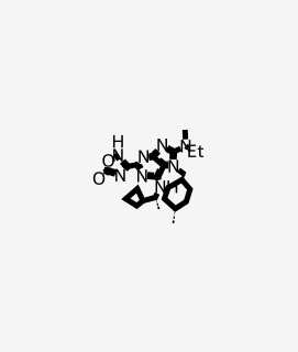 CCN(C)c1nc2nc(-c3nc(=O)o[nH]3)nc(N[C@H](C)C3CCC3)c2n1C[C@H]1CC[C@H](C)CC1